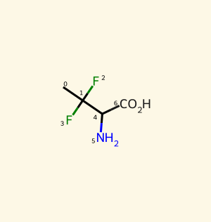 CC(F)(F)C(N)C(=O)O